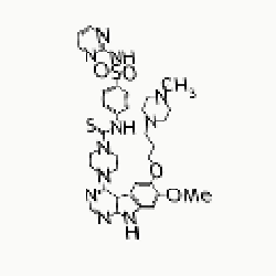 COc1cc2c(cc1OCCCN1CCN(C)CC1)C1C(N3CCN(C(=S)Nc4ccc(S(=O)(=O)Nc5ncccn5)cc4)CC3)=NC=NC1N2